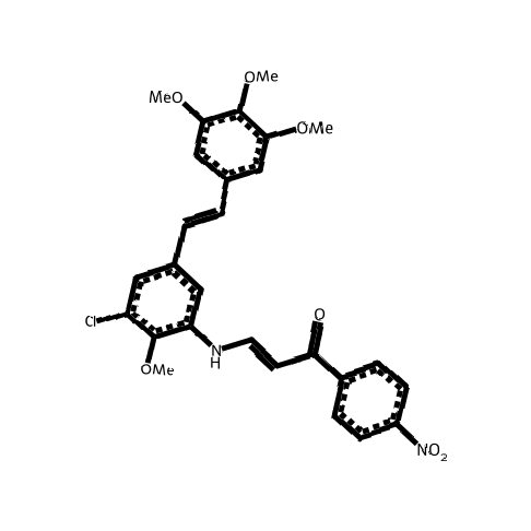 COc1cc(C=Cc2cc(Cl)c(OC)c(NC=CC(=O)c3ccc([N+](=O)[O-])cc3)c2)cc(OC)c1OC